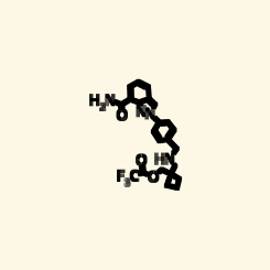 NC(=O)c1cccc2cn(-c3ccc(CNCC4(COC(=O)C(F)(F)F)CCC4)cc3)nc12